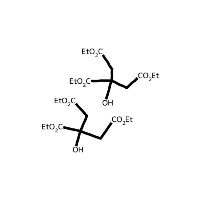 CCOC(=O)CC(O)(CC(=O)OCC)C(=O)OCC.CCOC(=O)CC(O)(CC(=O)OCC)C(=O)OCC